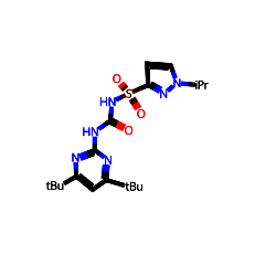 CC(C)n1ccc(S(=O)(=O)NC(=O)Nc2nc(C(C)(C)C)cc(C(C)(C)C)n2)n1